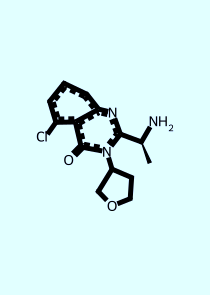 C[C@H](N)c1nc2cccc(Cl)c2c(=O)n1C1CCOC1